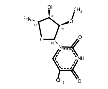 [2H][C@H]1O[C@@H](n2cc(C)c(=O)[nH]c2=O)[C@H](OC)[C@@H]1O